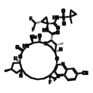 C[C@@H]1C[C@H]2CCCCC(F)(F)c3nc4ccc(C#N)cc4nc3O[C@H]3CN(C(=O)[C@H](C(C)(C)C)NC(=O)O[C@@H]2C1)[C@H](C(=O)N[C@]1(C(=O)NS(=O)(=O)C2(C)CC2)C[C@H]1C(F)F)[C@@H]3C